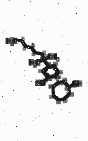 CCCCCCC(C)(C)c1ccc([C@H]2CCCCC[C@H](O)C2)c(O)c1